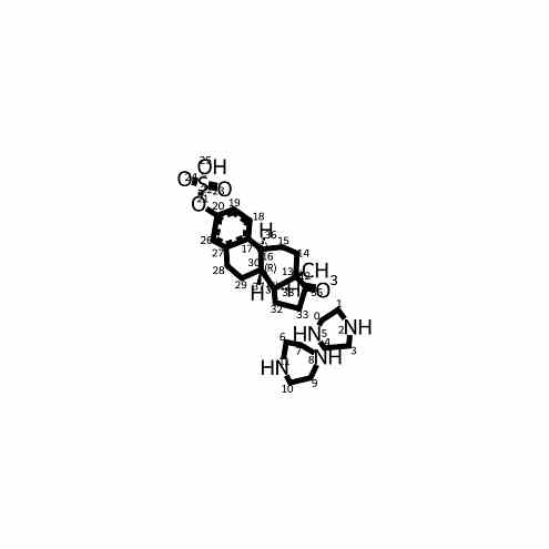 C1CNCCN1.C1CNCCN1.C[C@]12CC[C@@H]3c4ccc(OS(=O)(=O)O)cc4CC[C@H]3[C@@H]1CCC2=O